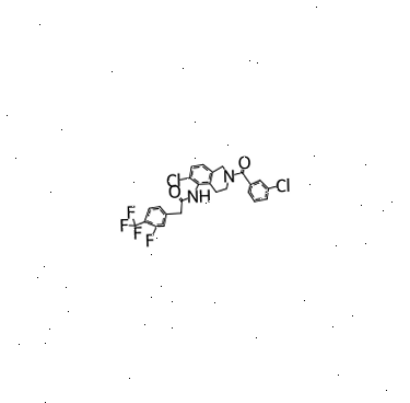 O=C(Cc1ccc(C(F)(F)F)c(F)c1)Nc1c(Cl)ccc2c1CCN(C(=O)c1cccc(Cl)c1)C2